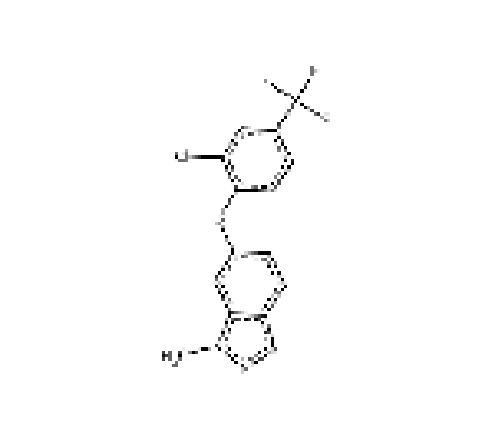 Cn1nnc2ccc(Oc3ccc(C(F)(F)F)cc3Cl)cc21